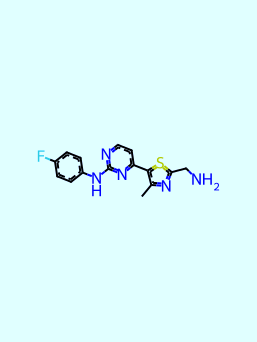 Cc1nc(CN)sc1-c1ccnc(Nc2ccc(F)cc2)n1